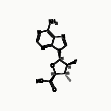 C[C@H]1[C@H](F)[C@H](n2cnc3c(N)ncnc32)O[C@@H]1C(=O)O